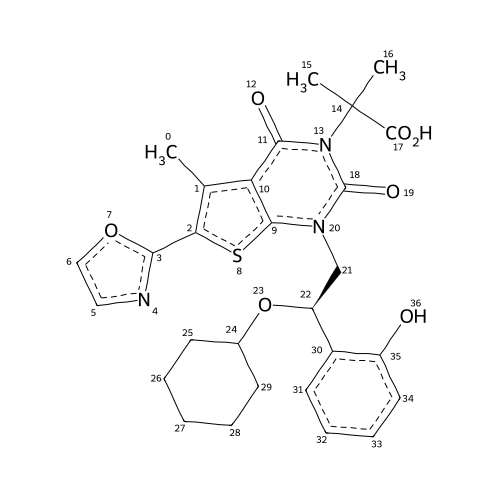 Cc1c(-c2ncco2)sc2c1c(=O)n(C(C)(C)C(=O)O)c(=O)n2C[C@H](OC1CCCCC1)c1ccccc1O